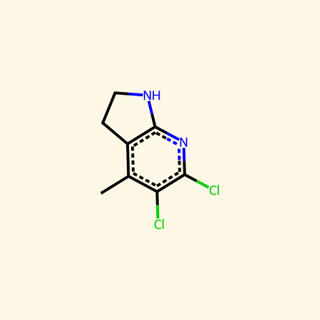 Cc1c(Cl)c(Cl)nc2c1CCN2